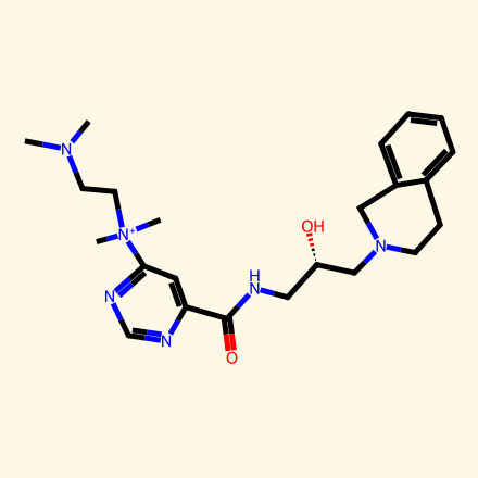 CN(C)CC[N+](C)(C)c1cc(C(=O)NC[C@H](O)CN2CCc3ccccc3C2)ncn1